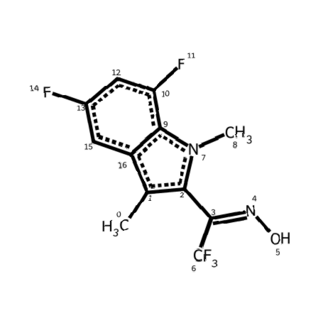 Cc1c(/C(=N/O)C(F)(F)F)n(C)c2c(F)cc(F)cc12